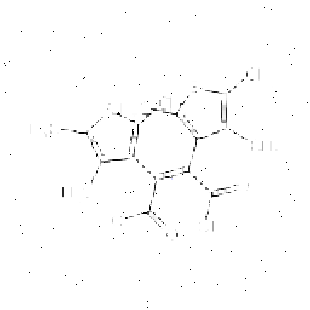 Cc1sc(C)c(/C(C(=O)O)=C(/C(=O)O)c2c(C)sc(C)c2C)c1C